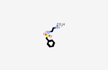 O=C(O)NCCNS(=O)(=O)Cc1ccccc1